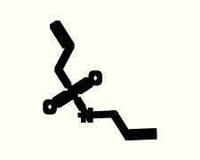 C=CC[N]S(=O)(=O)CC=C